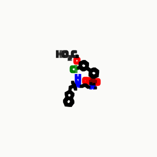 CN(CC(O)CNC(C)(C)CC1Cc2ccccc2C1)S(=O)(=O)c1cccc(-c2ccc(OCC(=O)O)c(Cl)c2)c1